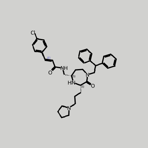 O=C(/C=C/c1ccc(Cl)cc1)NC[C@@H]1CCN(CC(c2ccccc2)c2ccccc2)C(=O)[C@H](CCCN2CCCC2)N1